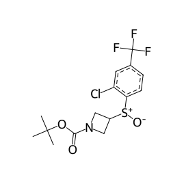 CC(C)(C)OC(=O)N1CC([S+]([O-])c2ccc(C(F)(F)F)cc2Cl)C1